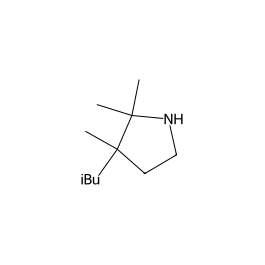 CCC(C)C1(C)CCNC1(C)C